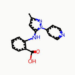 Cc1cc(Nc2ccccc2C(=O)O)n(-c2ccncc2)n1